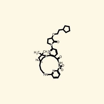 CC1(C)C[C@@H]2CCCNc3cccc(n3)S(=O)(=O)NC(=O)c3ccc(N4CCC(OCCC5CCCC5)C4=O)nc3N1C2